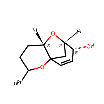 CCCC1CC[C@@H]2O[C@@H]3CC2(C=C[C@H]3O)O1